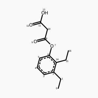 CCc1cccc(OC(=O)CC(=O)O)c1CC